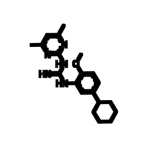 COc1ccc(C2CCCCC2)cc1NC(=N)Nc1nc(C)cc(C)n1